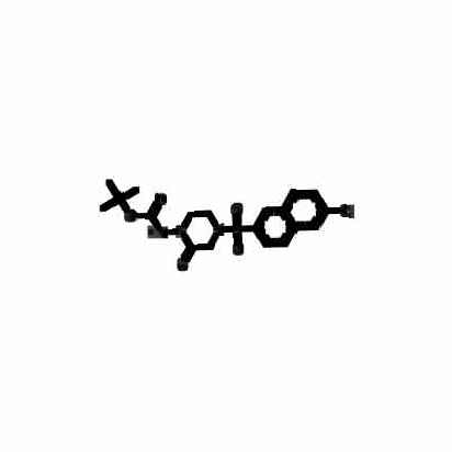 CC(C)(C)OC(=O)NN1CCN(S(=O)(=O)c2ccc3cc(Cl)ccc3c2)CC1=O